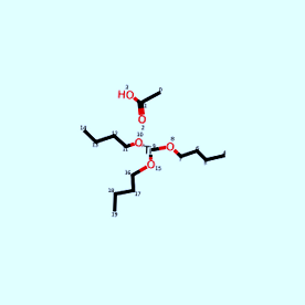 CC(=O)O.CCCC[O][Ti]([O]CCCC)[O]CCCC